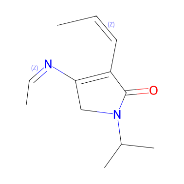 C/C=C\C1=C(/N=C\C)CN(C(C)C)C1=O